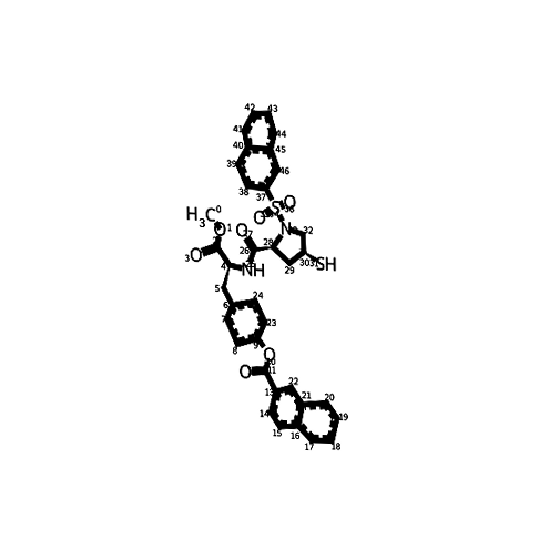 COC(=O)[C@H](Cc1ccc(OC(=O)c2ccc3ccccc3c2)cc1)NC(=O)[C@@H]1C[C@H](S)CN1S(=O)(=O)c1ccc2ccccc2c1